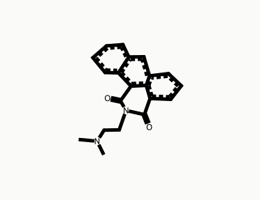 CN(C)CCN1C(=O)c2cccc3cc4ccccc4c(c23)C1=O